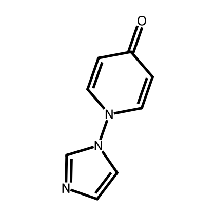 O=c1ccn(-n2ccnc2)cc1